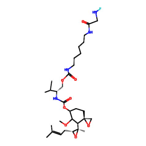 COC1C(OC(=O)N[C@@H](COC(=O)NCCCCCCNC(=O)CNF)C(C)C)CC[C@]2(CO2)C1[C@@]1(C)O[C@@H]1CC=C(C)C